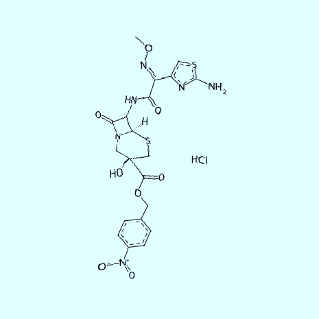 CON=C(C(=O)NC1C(=O)N2CC(O)(C(=O)OCc3ccc([N+](=O)[O-])cc3)CS[C@H]12)c1csc(N)n1.Cl